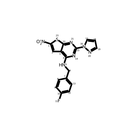 O=[N+]([O-])c1cc2c(NCc3ccc(F)cc3)nc(-n3cccn3)nc2s1